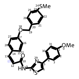 COc1ccc(-c2csc(NC(=O)/C=C\c3ccc(OCc4ccc(SC)cc4)cc3)n2)cc1